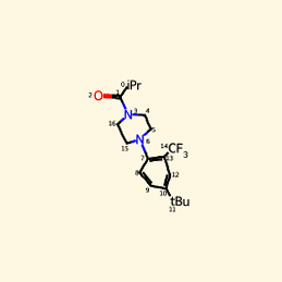 CC(C)C(=O)N1CCN(c2ccc(C(C)(C)C)cc2C(F)(F)F)CC1